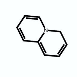 [C]1=CN2CC=CC=C2C=C1